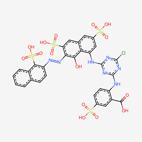 O=C(O)c1cc(S(=O)(=O)O)ccc1Nc1nc(Cl)nc(Nc2cc(S(=O)(=O)O)cc3cc(S(=O)(=O)O)c(N=Nc4ccc5ccccc5c4S(=O)(=O)O)c(O)c23)n1